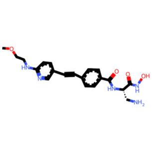 COCCNc1ccc(C#Cc2ccc(C(=O)N[C@@H](CN)C(=O)NO)cc2)cn1